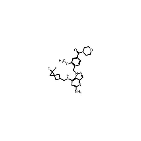 COc1cc(C(=O)N2CCOCC2)ccc1Cn1ncc2nc(N)nc(NCC3CC4(C3)CC4(F)F)c21